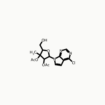 CC(=O)OC1C(n2ccc3c(Cl)ncnc32)OC(CO)C1(C)OC(C)=O